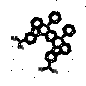 CN(C)c1ccc2c(c1)c1cccc3c1n2-c1cc2c(cc1B3c1ccccc1)B(c1ccccc1)c1cccc3c4cc(N(C)C)ccc4n-2c13